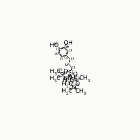 C[Si](C)(C)O[Si](C)(C)O[Si](C)(CCCc1ccc(O)c(O)c1)O[Si](C)(C)C